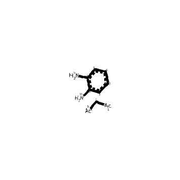 CC(=O)CC(C)=O.Nc1ccccc1N